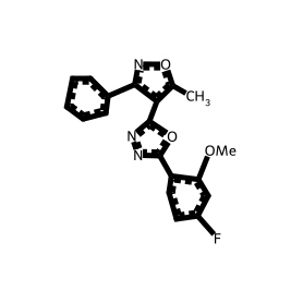 COc1cc(F)ccc1-c1nnc(-c2c(-c3ccccc3)noc2C)o1